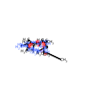 CCCCCCCCCCCCCCCC(=O)N[C@H](C(=O)N[C@@H](CCCNC(=N)N)C(=O)N1CCC[C@H]1C(=O)N[C@H](C(=O)N[C@@H](C)C(=O)N[C@@H](CC(N)=O)C(=O)N[C@@H](C)C(=O)N[C@@H](CCCNC(=N)N)C(=O)N[C@@H](CC(C)C)C(=O)NC(CCCNC(=N)N)C(=O)N[C@@H](CC(C)C)C(N)=O)C(C)C)C(C)C